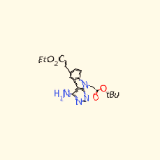 CCOC(=O)/C=C/c1ccc2c(c1)c1c(N)ncnc1n2CC(=O)OC(C)(C)C